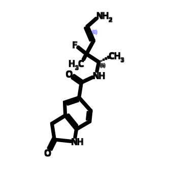 C[C@H](NC(=O)c1ccc2c(c1)CC(=O)N2)C(C)(F)/C=C/N